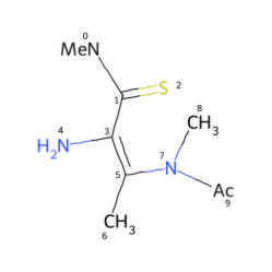 CNC(=S)/C(N)=C(/C)N(C)C(C)=O